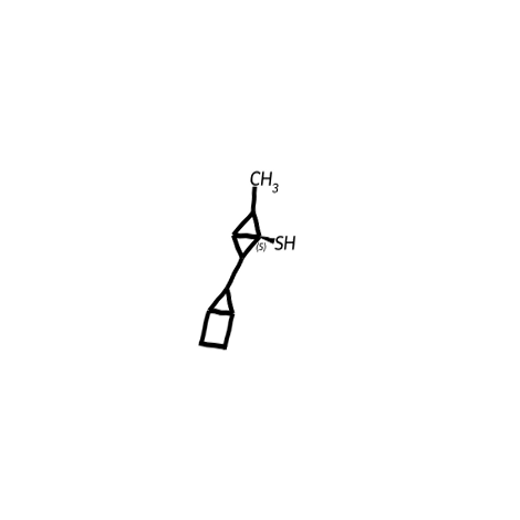 CC1C2C(C3C4CCC43)[C@@]12S